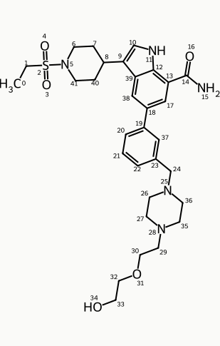 CCS(=O)(=O)N1CCC(c2c[nH]c3c(C(N)=O)cc(-c4cccc(CN5CCN(CCOCCO)CC5)c4)cc23)CC1